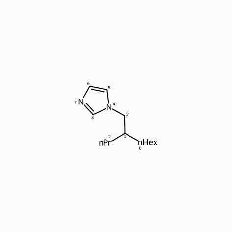 CCCCCCC(CCC)Cn1ccnc1